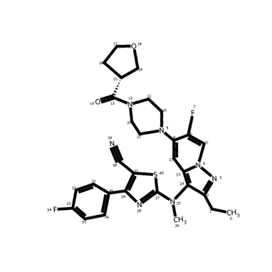 CCc1nn2cc(F)c(N3CCN(C(=O)[C@@H]4CCOC4)CC3)cc2c1N(C)c1nc(-c2ccc(F)cc2)c(C#N)s1